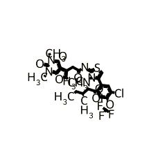 CC[C@H](C)[C@@H](C(=O)O)N(C)n1c(-c2ccc(OC(F)(F)F)c(Cl)c2)csc1=NC(=O)Cc1c(C)oc2c1c(=O)n(C)c(=O)n2C